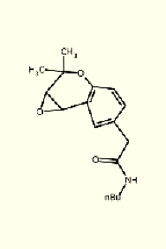 CCCCNC(=O)Cc1ccc2c(c1)C1OC1C(C)(C)O2